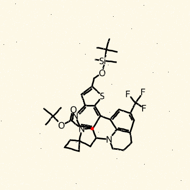 CC(C)(C)OC(=O)N1CC(N2CCCc3cc(C(F)(F)F)cc(-c4ccnc5cc(CO[Si](C)(C)C(C)(C)C)sc45)c32)CC12CCC2